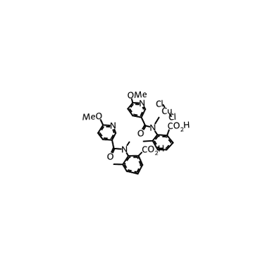 COc1ccc(C(=O)N(C)c2c(C)cccc2C(=O)O)cn1.COc1ccc(C(=O)N(C)c2c(C)cccc2C(=O)O)cn1.[Cl][Cu][Cl]